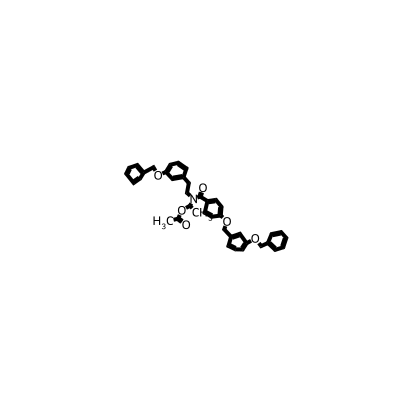 CC(=O)OC(C)N(CCc1cccc(OCc2ccccc2)c1)C(=O)c1ccc(OCc2cccc(OCc3ccccc3)c2)cc1